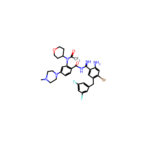 CN1CCN(c2ccc(C(=O)NC(=N)c3cc(Cc4cc(F)cc(F)c4)c(Br)cc3N)c(N(C(=O)C(F)(F)F)C3CCOCC3)c2)CC1